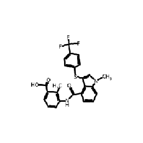 Cc1c(NC(=O)c2cccc3c2c(Sc2ccc(C(F)(F)F)cc2)cn3C)cccc1C(=O)O